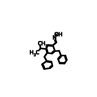 CC(C)c1cc(C=NO)c(Cc2ccccc2)cc1Cc1ccccc1